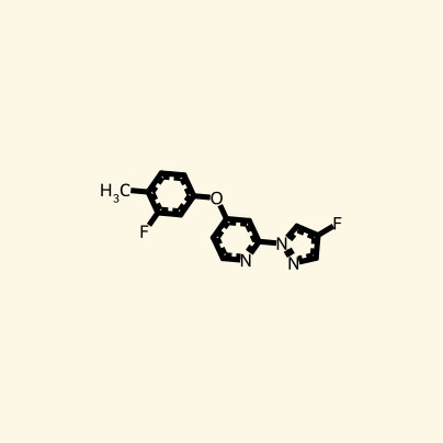 Cc1ccc(Oc2ccnc(-n3cc(F)cn3)c2)cc1F